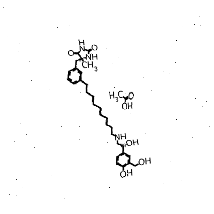 CC(=O)O.C[C@]1(Cc2cccc(CCCCCCCCCCNC[C@H](O)c3ccc(O)c(CO)c3)c2)NC(=O)NC1=O